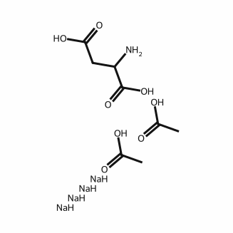 CC(=O)O.CC(=O)O.NC(CC(=O)O)C(=O)O.[NaH].[NaH].[NaH].[NaH]